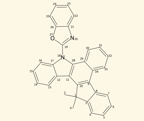 CC1(C)c2ccccc2-c2c1c1c3ccccc3n(-c3nc4ccccc4o3)c1c1ccccc21